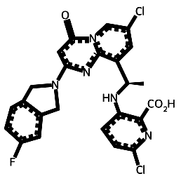 C[C@@H](Nc1ccc(Cl)nc1C(=O)O)c1cc(Cl)cn2c(=O)cc(N3Cc4ccc(F)cc4C3)nc12